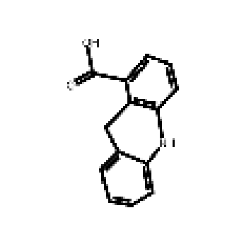 O=C(O)c1cccc2c1Cc1ccccc1N2